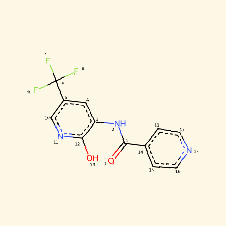 O=C(Nc1cc(C(F)(F)F)cnc1O)c1ccncc1